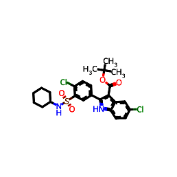 CC(C)(C)OC(=O)c1c(-c2ccc(Cl)c(S(=O)(=O)NC3CCCCC3)c2)[nH]c2ccc(Cl)cc12